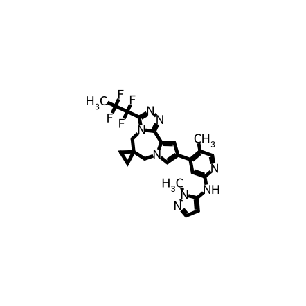 Cc1cnc(Nc2ccnn2C)cc1-c1cc2n(c1)CC1(CC1)Cn1c-2nnc1C(F)(F)C(C)(F)F